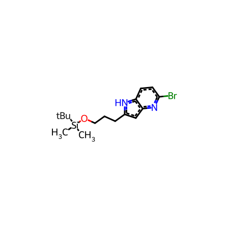 CC(C)(C)[Si](C)(C)OCCCc1cc2nc(Br)ccc2[nH]1